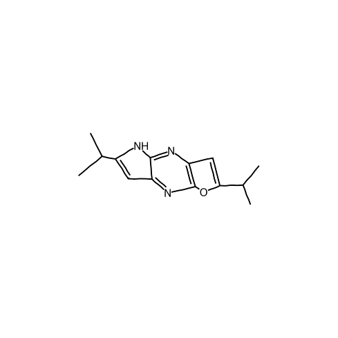 CC(C)c1cc2nc3oc(C(C)C)cc3nc2[nH]1